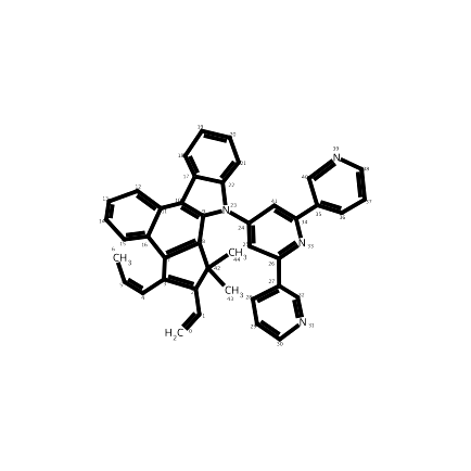 C=CC1=C(/C=C\C)c2c(c3c(c4ccccc24)c2ccccc2n3-c2cc(-c3cccnc3)nc(-c3cccnc3)c2)C1(C)C